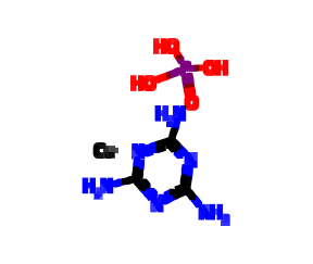 Nc1nc(N)nc(N)n1.O=P(O)(O)O.[Cu]